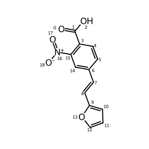 O=C(O)c1ccc(C=Cc2ccco2)cc1[N+](=O)[O-]